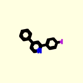 IC1C=CC(c2cc(-c3ccccc3)ccn2)=CC1